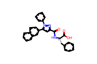 O=C(N[C@@H](Cc1ccccc1)C(=O)O)c1cc(-c2ccc3ccccc3c2)n(-c2ccccc2)n1